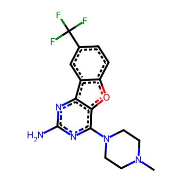 CN1CCN(c2nc(N)nc3c2oc2ccc(C(F)(F)F)cc23)CC1